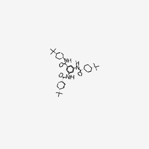 CC(C)(C)[C@H]1CC[C@@H](NC(=O)c2cc(NC(=O)[C@H]3CC[C@@H](C(C)(C)C)CC3)cc(NC(=O)[C@H]3CC[C@@H](C(C)(C)C)CC3)c2)CC1